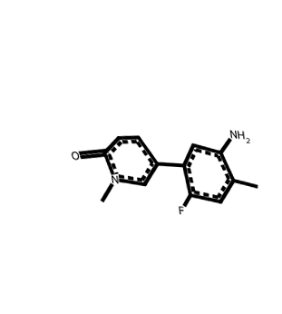 Cc1cc(F)c(-c2ccc(=O)n(C)c2)cc1N